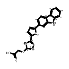 O=C(O)CSC1NN=C(c2ccc(-c3ccc4c(c3)[nH]c3ccccc34)o2)N1